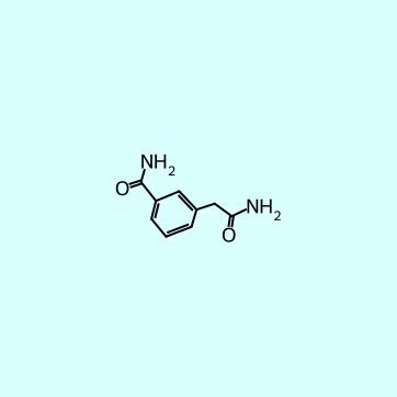 NC(=O)Cc1cccc(C(N)=O)c1